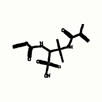 C=CC(=O)NC(C(C)(C)NC(=O)C(=C)C)S(=O)(=O)O